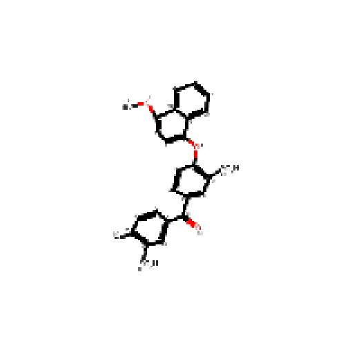 CCC(C)Oc1ccc(Oc2ccc(C(=O)c3ccc(C(C)C)c(S(=O)(=O)O)c3)cc2S(=O)(=O)O)c2ccccc12